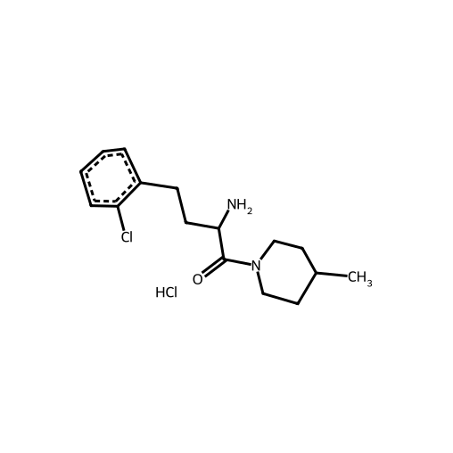 CC1CCN(C(=O)C(N)CCc2ccccc2Cl)CC1.Cl